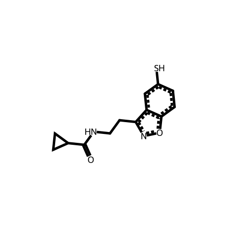 O=C(NCCc1noc2ccc(S)cc12)C1CC1